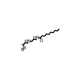 CCCCCCCCCC(=O)NCCCNCC[C@@H](C)N=O